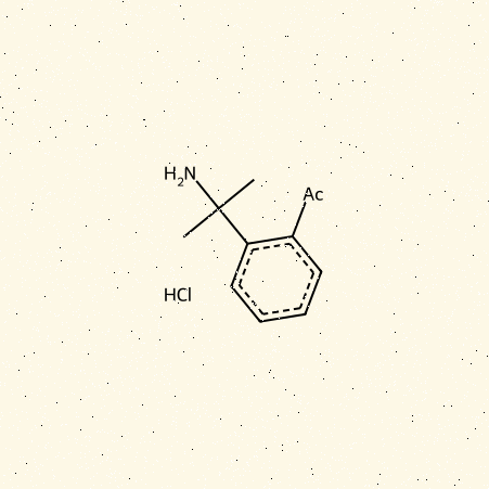 CC(=O)c1ccccc1C(C)(C)N.Cl